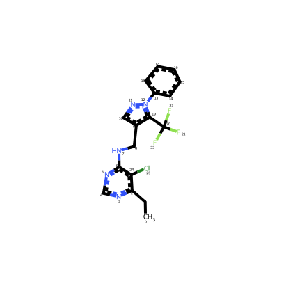 CCc1ncnc(NCc2cnn(-c3ccccc3)c2C(F)(F)F)c1Cl